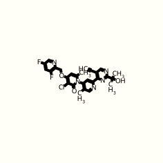 C#Cc1cnc(C(C)(C)O)nc1-c1cc(-n2c(C)cc(OCc3ncc(F)cc3F)c(Cl)c2=O)c(C)cn1